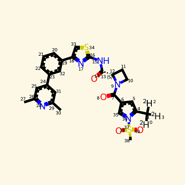 [2H]C([2H])([2H])c1cc(C(=O)N2CC[C@H]2C(=O)Nc2nc(-c3cccc(-c4cc(C)nc(C)c4)c3)cs2)cn1S(C)(=O)=O